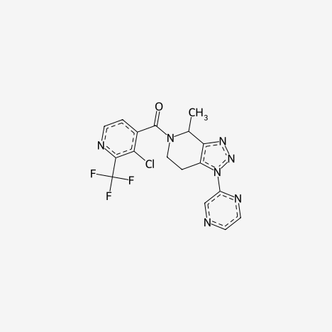 CC1c2nnn(-c3cnccn3)c2CCN1C(=O)c1ccnc(C(F)(F)F)c1Cl